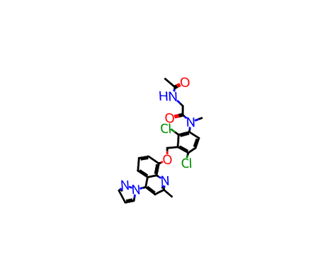 CC(=O)NCC(=O)N(C)c1ccc(Cl)c(COc2cccc3c(-n4cccn4)cc(C)nc23)c1Cl